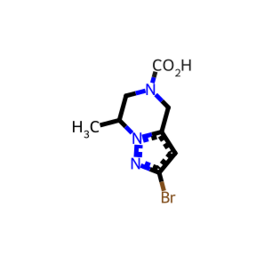 CC1CN(C(=O)O)Cc2cc(Br)nn21